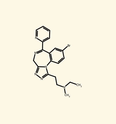 CCN(C)CCc1nnc2n1-c1ccc(Br)cc1C(c1ccccn1)=NC2